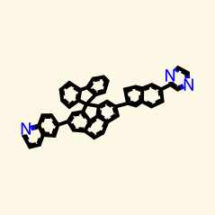 c1ccc2c(c1)-c1ccccc1C21c2cc(-c3ccc4cc(-c5cnccn5)ccc4c3)cc3ccc4cc(-c5ccc6ncccc6c5)cc1c4c23